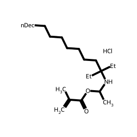 C=C(C)C(=O)OC(C)NC(CC)(CC)CCCCCCCCCCCCCCCCC.Cl